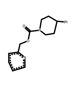 CC(C)C1CCN(C(=O)OCc2ccccn2)CC1